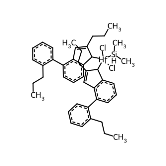 CCCC1=Cc2c(-c3ccccc3CCC)cccc2[CH]1[Hf]([Cl])([Cl])([CH]1C(CCC)=Cc2c(-c3ccccc3CCC)cccc21)[SiH](C)C